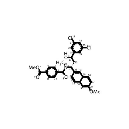 COC(=O)c1ccc(C(C)N(C)[C@H](C[C@@H](C)c2cc(Cl)cc(Cl)c2)C2=CC3C=CC(OC)=CC3C=C2)cc1